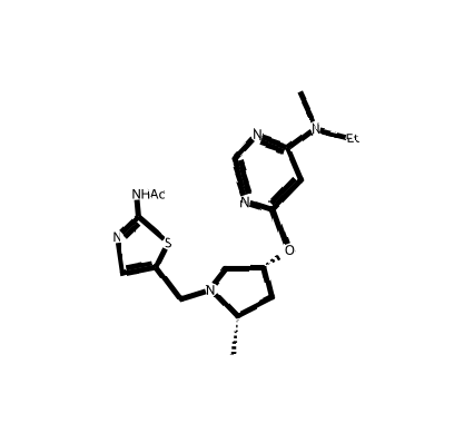 CCN(C)c1cc(O[C@@H]2C[C@H](C)N(Cc3cnc(NC(C)=O)s3)C2)ncn1